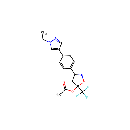 CCn1cc(-c2ccc(C3=NOC(OC(C)=O)(C(F)(F)F)C3)cc2)cn1